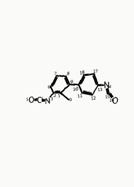 Cc1c(N=C=O)cccc1-c1ccc(N=C=O)cc1